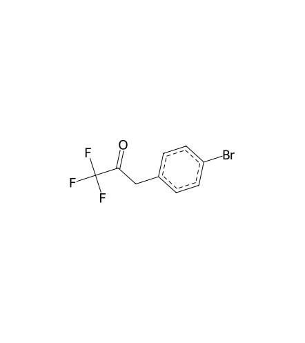 O=C(Cc1ccc(Br)cc1)C(F)(F)F